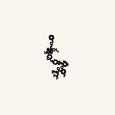 CC(C)N(CC(F)F)C(=O)c1cc(F)ccc1Oc1cncnc1N1CC2(CCN(C[C@@H]3CC[C@@H](NS(=O)(=O)N(C)CCOCc4ccccc4)CO3)CC2)C1